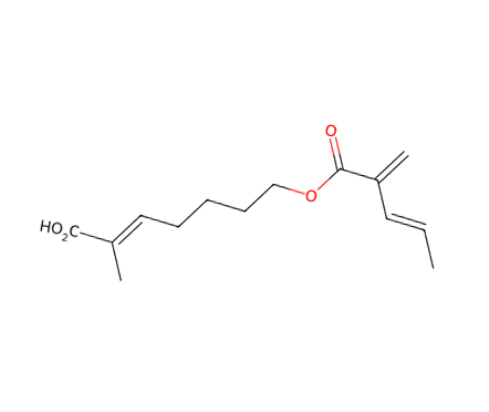 C=C(C=CC)C(=O)OCCCCC=C(C)C(=O)O